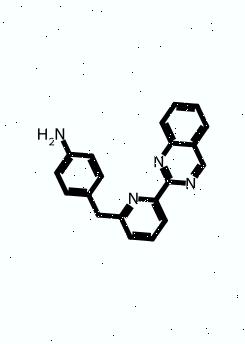 Nc1ccc(Cc2cccc(-c3ncc4ccccc4n3)n2)cc1